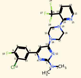 CN(C)c1nc(-c2ccc(F)c(Cl)c2)cc(N2CCN(c3ncccc3C(F)(F)F)CC2)n1